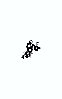 Cc1cccc(CN2C(=O)CCc3cc(NC(=O)NC(C)(C)C)ccc32)c1F